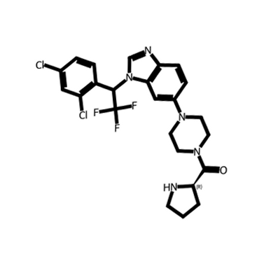 O=C([C@H]1CCCN1)N1CCN(c2ccc3ncn(C(c4ccc(Cl)cc4Cl)C(F)(F)F)c3c2)CC1